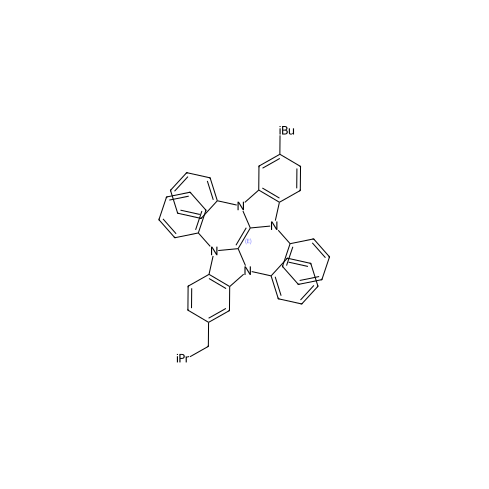 CCC(C)c1ccc2c(c1)N(c1ccccc1)/C(=C1\N(c3ccccc3)c3ccc(CC(C)C)cc3N1c1ccccc1)N2c1ccccc1